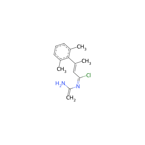 C=C(N)/N=C(Cl)\C=C(/C)c1c(C)cccc1C